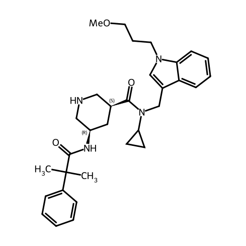 COCCCn1cc(CN(C(=O)[C@@H]2CNC[C@H](NC(=O)C(C)(C)c3ccccc3)C2)C2CC2)c2ccccc21